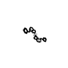 C[Si](C)(c1ccc2c(c1)N(Cc1ccccc1)CCC2)c1ccc2c(c1)N(Cc1ccccc1)CCC2